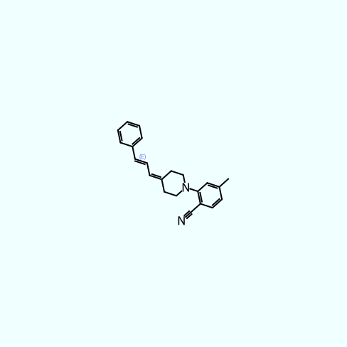 Cc1ccc(C#N)c(N2CCC(=C/C=C/c3ccccc3)CC2)c1